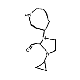 O=CC1N(C2CC2)CCN1C1CCCNC1